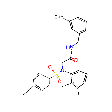 Cc1ccc(S(=O)(=O)N(CC(=O)NCc2cccc(C=O)c2)c2cccc(C)c2C)cc1